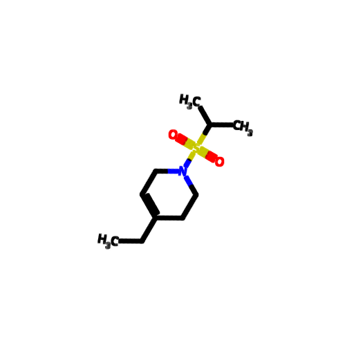 CCC1=CCN(S(=O)(=O)C(C)C)CC1